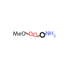 COCCOCOCc1ccc(N)cc1